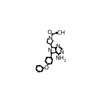 C#CC(=O)N1CCC(C2N=C(c3ccc(Oc4ccccc4)cc3)c3c(N)ncnc32)C1